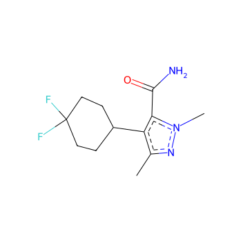 Cc1nn(C)c(C(N)=O)c1C1CCC(F)(F)CC1